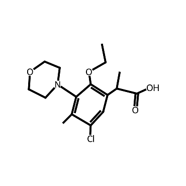 CCOc1c(C(C)C(=O)O)cc(Cl)c(C)c1N1CCOCC1